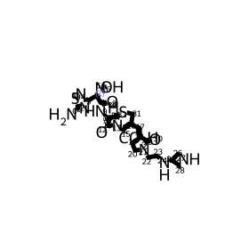 Nc1nc(/C(=N/O)C(=O)N[C@@H]2C(=O)N3C(C(=O)O)=C(C=C4CCN(CCNC5CNC5)C4=O)CS[C@H]23)ns1